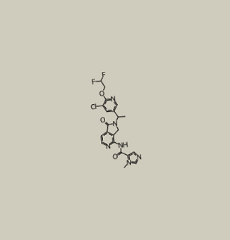 CC(c1cnc(OCC(F)F)c(Cl)c1)N1Cc2c(ccnc2NC(=O)c2cncn2C)C1=O